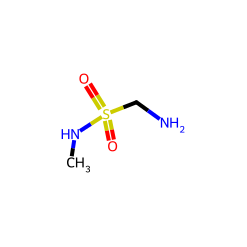 CNS(=O)(=O)CN